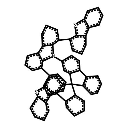 c1ccc2c(c1)-c1ccccc1C21c2ccccc2-c2ccc(-n3c4c(-c5cccc6c5sc5ccccc56)cccc4c4cccc(-c5cccc6c5sc5ccccc56)c43)cc21